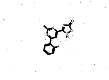 Cc1nc(-c2nc(=O)o[nH]2)cc(-c2ccccc2F)n1